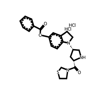 Cl.Cl.O=C(Oc1ccc2c(c1)CCN2[C@@H]1CN[C@H](C(=O)N2CCSC2)C1)c1ccccc1